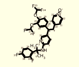 CC(C)(Nc1ccc(C(Cc2cc[n+]([O-])cc2)c2ccc(OC(F)F)c(OC(F)F)c2)cn1)c1ccc(F)cc1F